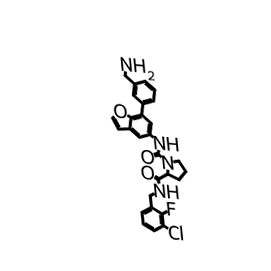 NCc1cccc(-c2cc(NC(=O)N3CCCC3C(=O)NCc3cccc(Cl)c3F)cc3ccoc23)c1